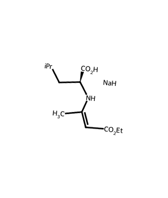 CCOC(=O)C=C(C)N[C@@H](CC(C)C)C(=O)O.[NaH]